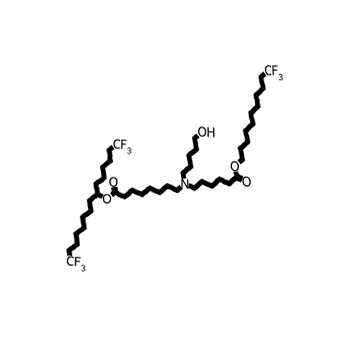 O=C(CCCCCN(CCCCCO)CCCCCCCC(=O)OC(CCCCCCCC(F)(F)F)CCCCCC(F)(F)F)OCCCCCCCCCCC(F)(F)F